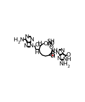 Nc1nc2c(ncn2[C@@H]2OC3CCC[C@H]4C[C@H](n5cnc6c(N)ncnc65)O[C@@H]4COP(=O)(S)O[C@@H]2[C@@H]3F)c(=O)[nH]1